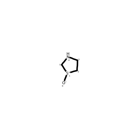 [O-][S+]1C[CH]NC1